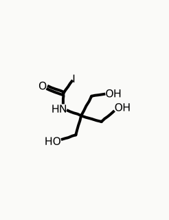 O=C(I)NC(CO)(CO)CO